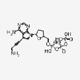 NCC#Cc1cn([C@H]2CCC(COP(=O)(O)OP(=O)(O)OP(=O)(O)O)O2)c2ncnc(N)c12